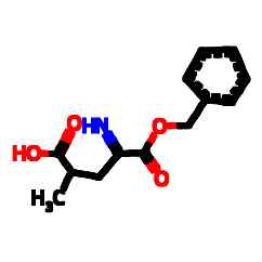 CC(CC(=N)C(=O)OCc1ccccc1)C(=O)O